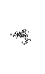 COc1ccc(C(=O)Nc2cnc3c(c([C@@H]4CCN(C(=O)C(C)C)C(C)(C)C4)cn3C)c2C)cc1C#N